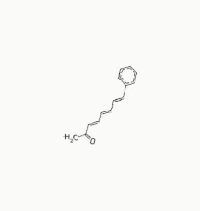 [CH2]C(=O)C=CC=CC=Cc1ccccc1